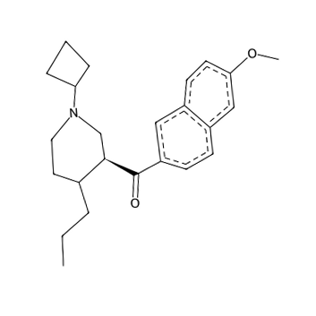 CCCC1CCN(C2CCC2)C[C@H]1C(=O)c1ccc2cc(OC)ccc2c1